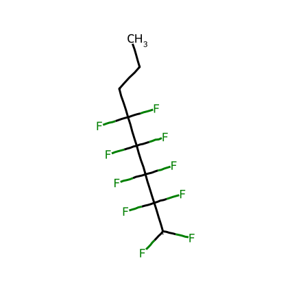 CCCC(F)(F)C(F)(F)C(F)(F)C(F)(F)[C](F)F